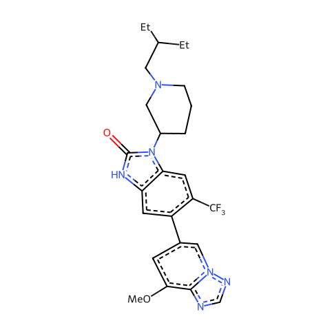 CCC(CC)CN1CCCC(n2c(=O)[nH]c3cc(-c4cc(OC)c5ncnn5c4)c(C(F)(F)F)cc32)C1